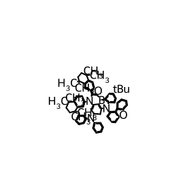 CC(C)(C)c1ccc2c(c1)B1C3=C(CC(N(c4ccccc4)c4ccccc4)C=C3N(c3ccc4c(c3)C(C)(C)CCC4(C)C)c3c1oc1cc4c(cc31)C(C)(C)CCC4(C)C)N2c1cccc2oc3ccccc3c12